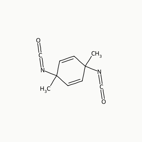 CC1(N=C=O)C=CC(C)(N=C=O)C=C1